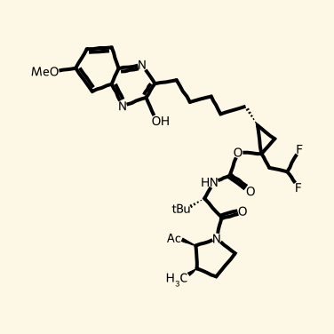 COc1ccc2nc(CCCCC[C@@H]3CC3(CC(F)F)OC(=O)N[C@H](C(=O)N3CC[C@@H](C)[C@H]3C(C)=O)C(C)(C)C)c(O)nc2c1